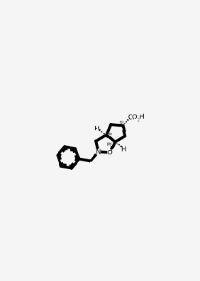 O=C(O)[C@H]1C[C@@H]2CN(Cc3ccccc3)O[C@@H]2C1